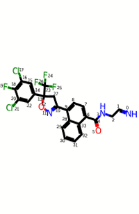 N=CCNC(=O)c1ccc(C2=NOC(c3cc(Cl)c(F)c(Cl)c3)(C(F)(F)F)C2)c2ccccc12